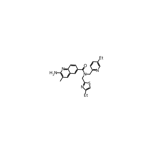 CCc1ccc(CN(Cc2nc(CC)cs2)C(=O)c2ccc3nc(N)c(C)cc3c2)nc1